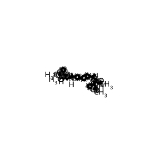 CCCN(Cc1ncc(-c2ccc(-c3ccc4cc(-c5cnc(CN(CC(C)=O)C(=O)C(NC(=O)OC)c6ccccc6)[nH]5)ccc4c3)cc2)[nH]1)C(=O)[C@H](NC(=O)OC)c1ccccc1